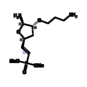 B[C@@H]1O[C@H](/C=C/P(=O)(OC)OC)C[C@H]1OCCCN